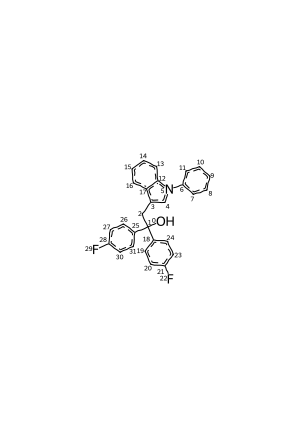 OC(Cc1cn(-c2ccccc2)c2ccccc12)(c1ccc(F)cc1)c1ccc(F)cc1